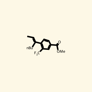 C/C=C(\CCCC)c1ccc(C(=O)OC)cc1C(F)(F)F